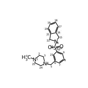 CN1CCN(Cc2cccc(S(=O)(=O)N3Cc4ccccc4C3)c2)CC1